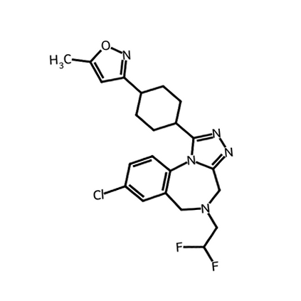 Cc1cc(C2CCC(c3nnc4n3-c3ccc(Cl)cc3CN(CC(F)F)C4)CC2)no1